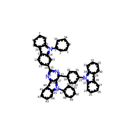 c1ccc(-n2c3ccccc3c3ccc(-c4nc(-c5ccc(-n6c7ccccc7c7ccccc76)cc5)c5c(n4)c4ccccc4n5-c4ccccc4)cc32)cc1